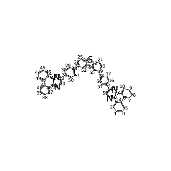 c1ccc2c(c1)c1ccccc1c1nc(-c3ccc(-c4ccc5sc6ccc(-c7ccc(-c8cnc9c%10ccccc%10c%10ccccc%10c9n8)cc7)cc6c5c4)cc3)cnc21